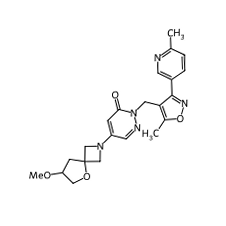 COC1COC2(C1)CN(c1cnn(Cc3c(-c4ccc(C)nc4)noc3C)c(=O)c1)C2